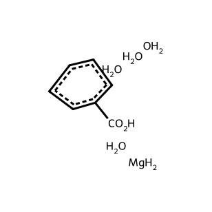 O.O.O.O.O=C(O)c1ccccc1.[MgH2]